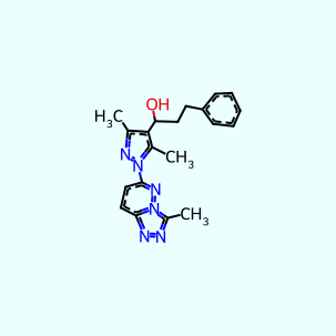 Cc1nn(-c2ccc3nnc(C)n3n2)c(C)c1C(O)CCc1ccccc1